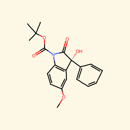 COc1ccc2c(c1)[C@](O)(c1ccccc1)C(=O)N2C(=O)OC(C)(C)C